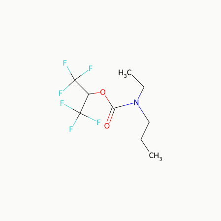 CCCN(CC)C(=O)OC(C(F)(F)F)C(F)(F)F